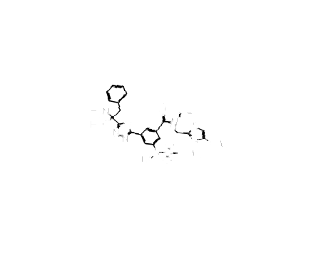 Cc1csc(CN(C)C(=O)c2cc(-c3nnc([C@](C)(N)Cc4ccccc4)o3)cc(N(C)S(C)(=O)=O)c2)n1